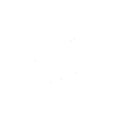 N#CC(C#N)=C1c2cc(-c3c(F)cccc3C#N)c(C#N)cc2-c2cc(C#N)c(-c3c(F)cccc3C#N)cc21